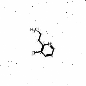 CCCc1ncc[c]c1Cl